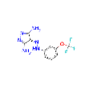 NC1=NN=C(N)C1=NNc1cccc(OC(F)(F)F)c1